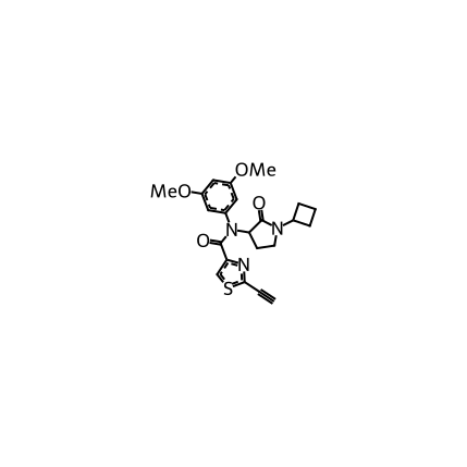 C#Cc1nc(C(=O)N(c2cc(OC)cc(OC)c2)C2CCN(C3CCC3)C2=O)cs1